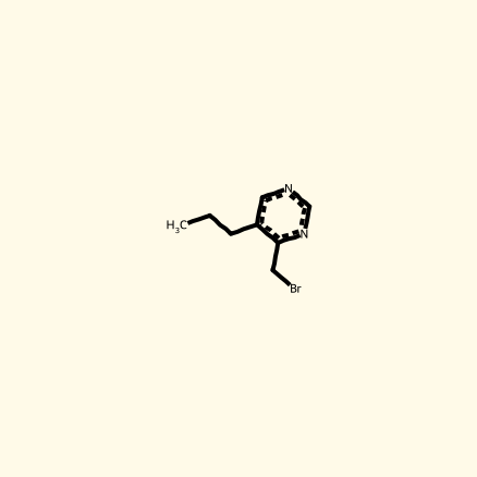 CCCc1cncnc1CBr